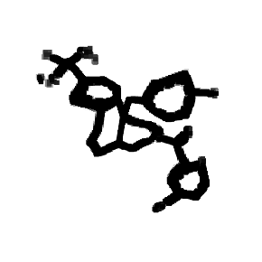 CC(F)(c1ccc2c(c1)CCC1CN(C(=O)c3cc(=O)cco3)CC21Cc1ccc(F)cc1)C(F)(F)F